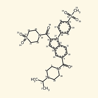 CC(C)N1CCN(C(=O)c2ccc3c(c2)cc(C(=O)N2CCS(=O)(=O)CC2)n3-c2ccc(S(C)(=O)=O)cc2)CC1